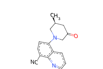 C[C@H]1CC(=O)CN(c2ccc(C#N)c3ncccc23)C1